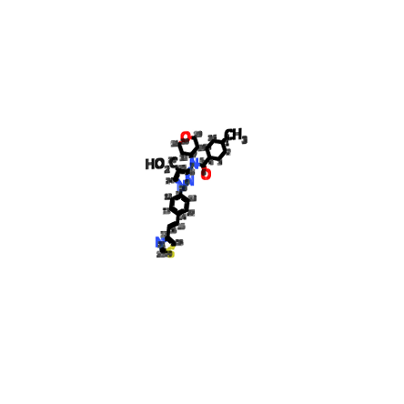 CC1CCC(C(=O)N(c2nn(-c3ccc(C=Cc4cscn4)cc3)cc2C(=O)O)C2CCOCC2)CC1